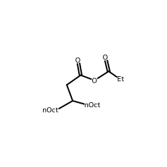 CCCCCCCCC(CCCCCCCC)CC(=O)OC(=O)CC